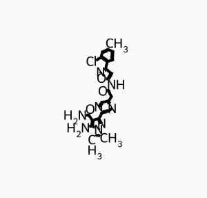 Cc1ccc(-c2cc(NC(=O)Cc3cnc(-c4nn(C(C)C)c(N)c4C(N)=O)cn3)on2)c(Cl)c1